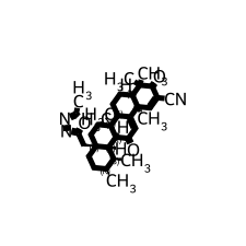 Cc1nnc(C[C@]23CC[C@@H](C)[C@H](C)[C@H]2[C@H]2C(=O)C=C4[C@@]5(C)C=C(C#N)C(=O)C(C)(C)[C@@H]5CC[C@@]4(C)[C@]2(C)CC3)o1